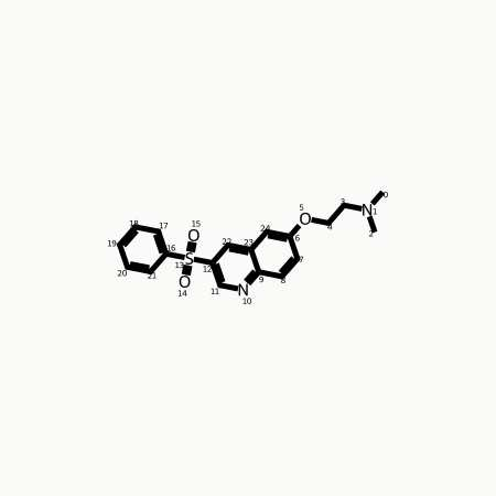 CN(C)CCOc1ccc2ncc(S(=O)(=O)c3ccccc3)cc2c1